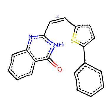 O=c1[nH]c(/C=C\c2ccc(-c3ccccc3)s2)nc2ccccc12